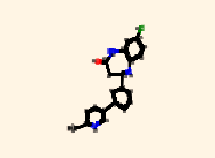 Cc1ccc(-c2cccc(C3=Nc4ccc(Cl)cc4NC(=O)C3)c2)cn1